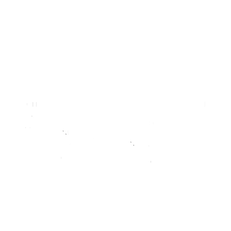 O=C(O)CCNC(=O)c1ccc(CN(C(=O)c2cc3cc(Cl)ccc3o2)c2ccc(C3CCCCC3)cc2)cc1